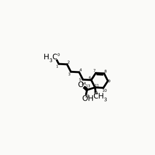 CCCCCCC1C=CCCC1(C)C(=O)O